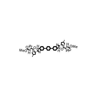 COC(=O)N[C@H](C(=O)N1C[C@H](C)C[C@H]1c1nc2cc(-c3ccc(-c4ccc5[nH]c([C@@H]6C[C@@H](C)CN6C(=O)[C@@H](NC(=O)OC)C(C)C)nc5c4)cc3)ccc2[nH]1)C(C)C